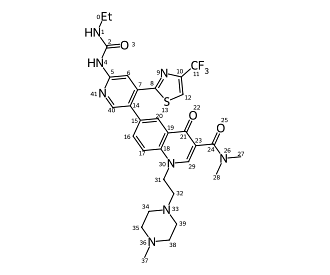 CCNC(=O)Nc1cc(-c2nc(C(F)(F)F)cs2)c(-c2ccc3c(c2)c(=O)c(C(=O)N(C)C)cn3CCN2CCN(C)CC2)cn1